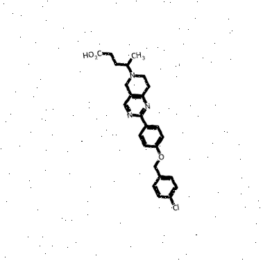 CC(CCC(=O)O)N1CCc2nc(-c3ccc(OCc4ccc(Cl)cc4)cc3)ncc2C1